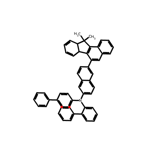 CC1(C)c2c(c(-c3ccc4cc(N(c5ccc(-c6ccccc6)cc5)c5ccccc5-c5ccccc5)ccc4c3)cc3ccccc23)C2C=CC=CC21